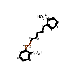 O=C(O)c1ccccc1CCCCCSSc1ccccc1C(=O)O